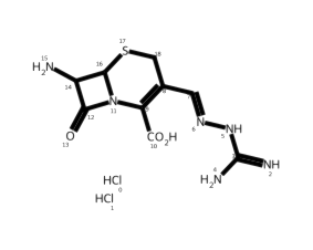 Cl.Cl.N=C(N)NN=CC1=C(C(=O)O)N2C(=O)C(N)C2SC1